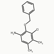 Cc1cc(N)c(OCc2ccccc2)c(Cl)c1C